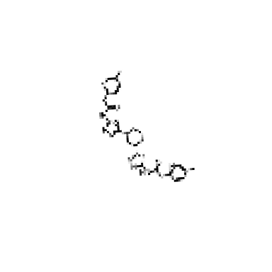 Cc1ccc(CC(=O)Nc2nnc([C@H]3CCC[C@H](c4nnc(NC(=O)Cc5ccc(C)cn5)s4)C3)s2)nc1